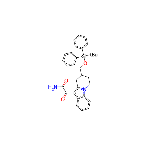 CC(C)(C)[Si](OCC1CCn2c(c(C(=O)C(N)=O)c3ccccc32)C1)(c1ccccc1)c1ccccc1